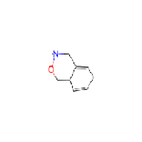 C1=CC2CO[N]CC2=CC1